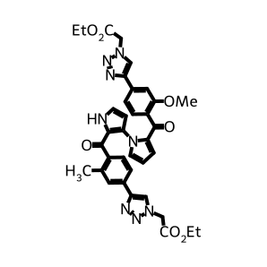 CCOC(=O)Cn1cc(-c2ccc(C(=O)c3[nH]ccc3-n3cccc3C(=O)c3ccc(-c4cn(CC(=O)OCC)nn4)cc3OC)c(C)c2)nn1